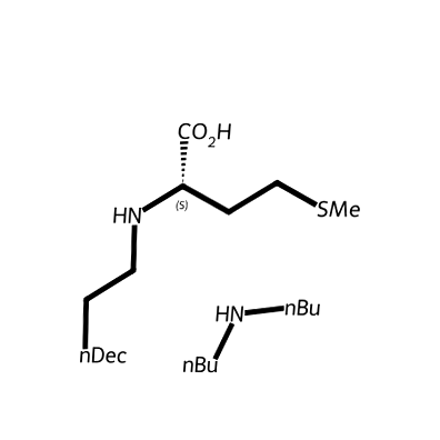 CCCCCCCCCCCCN[C@@H](CCSC)C(=O)O.CCCCNCCCC